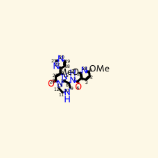 COc1ccc(C(=O)NC2CNCCn3c2nc(-c2ccncn2)cc3=O)c(OC)n1